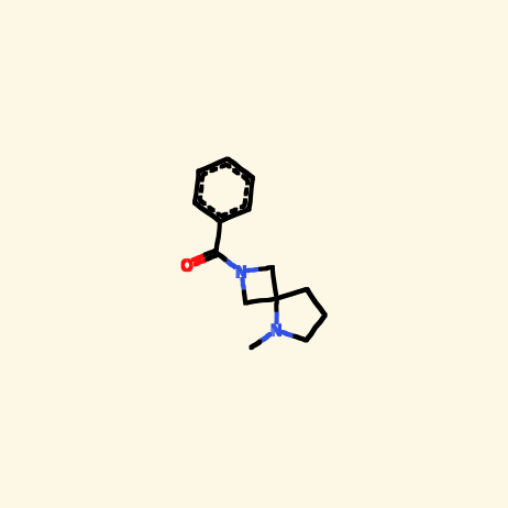 CN1CCCC12CN(C(=O)c1ccccc1)C2